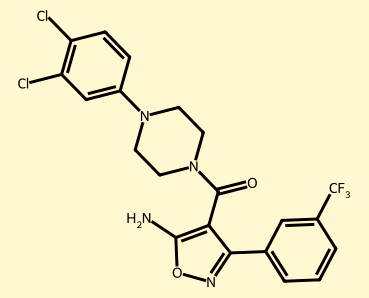 Nc1onc(-c2cccc(C(F)(F)F)c2)c1C(=O)N1CCN(c2ccc(Cl)c(Cl)c2)CC1